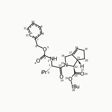 CC(C)[C@H](NC(=O)OCc1ccccc1)C(=O)N1CC2=CCC[C@@H]2[C@H]1C(=O)OC(C)(C)C